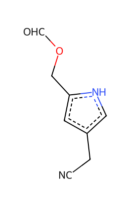 N#CCc1c[nH]c(COC=O)c1